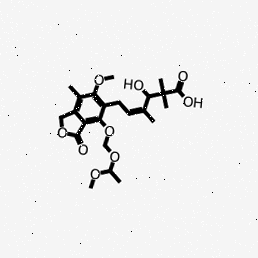 COc1c(C)c2c(c(OCOC(C)OC)c1CC=C(C)C(O)C(C)(C)C(=O)O)C(=O)OC2